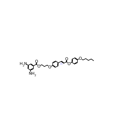 CCCCCOc1ccc(OC(=O)/C=C/c2ccc(OCCCOC(=O)c3cc(N)cc(N)c3)cc2)cc1